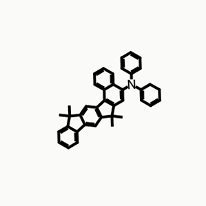 CC1(C)c2ccccc2-c2cc3c(cc21)-c1c(cc(N(C2=CC=CCC2)c2ccccc2)c2ccccc12)C3(C)C